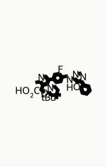 Cc1ncc(-c2ccc(CNc3ncnc4c3oc3ccccc34)c(F)c2)c(N2CCC(C)(C)CC2)c1[C@H](OC(C)(C)C)C(=O)O